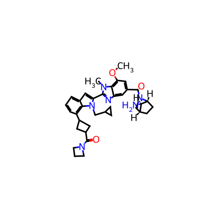 COc1cc(C(=O)N2C[C@H]3CC[C@@H]2[C@@H]3N)cc2nc(-c3cc4cccc(C5CC(C(=O)N6CCC6)C5)c4n3CC3CC3)n(C)c12